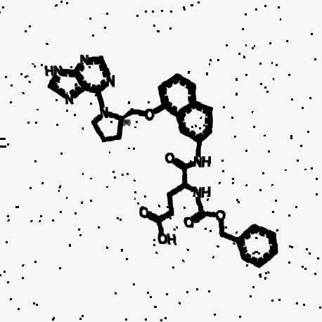 O=C(O)CCC(NC(=O)OCc1ccccc1)C(=O)Nc1ccc2cccc(OC[C@H]3CCCN3c3ncnc4[nH]cnc34)c2c1